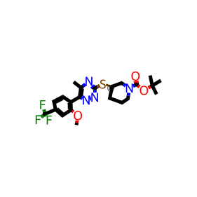 COc1cc(C(F)(F)F)ccc1-c1nnc(S[C@@H]2CCCN(C(=O)OC(C)(C)C)C2)nc1C